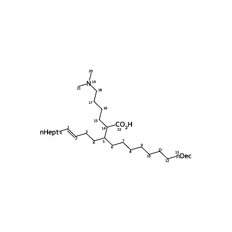 CCCCCCCC=CCCC(CCCCCCCCCCCCCCCCC)C(CCCCN(C)C)C(=O)O